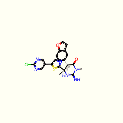 CN1C(=N)N[C@](C)(c2ncc(-c3cnc(Cl)nc3)s2)[C@H](c2ccc3occc3c2)C1=O